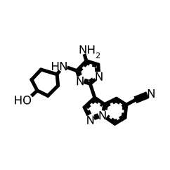 N#Cc1ccn2ncc(-c3ncc(N)c(NC4CCC(O)CC4)n3)c2c1